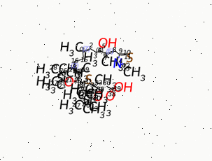 C/C(=C/C[C@H](O)/C(C)=C/c1csc(C)n1)C/C=C\[C@H](C)[C@H](O[Si](C)(C)C(C)(C)C)[C@@H](C)SC(C)(C)[C@H](CC(=O)O)O[Si](C)(C)C(C)(C)C